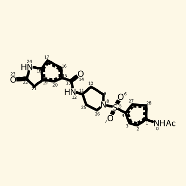 CC(=O)Nc1ccc(S(=O)(=O)N2CCC(NC(=O)c3ccc4c(c3)CC(=O)N4)CC2)cc1